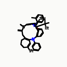 C=C1CC2=C(C=C(C(C)C)CCC2)N(c2ccccc2)c2cccc3c2/C(C)=C(C(C)(C)CC)/C(C(C)(C)C)=C\C(=C\B1C)N3c1ccccc1C